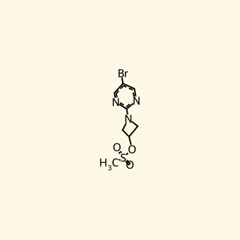 CS(=O)(=O)OC1CN(c2ncc(Br)cn2)C1